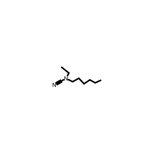 CCCCCCN(C#N)CC